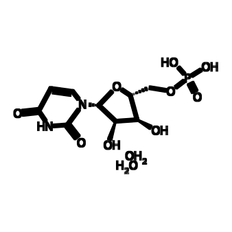 O.O.O=c1ccn([C@@H]2O[C@H](COP(=O)(O)O)[C@@H](O)[C@H]2O)c(=O)[nH]1